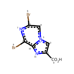 O=C(O)c1cn2cc(Br)nc(Br)c2n1